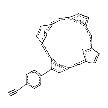 C#Cc1ccc(-c2cc3cc4nc(cc5ccc(cc6nc(cc2[nH]3)C=C6)[nH]5)C=C4)cc1